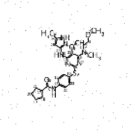 COCCN(C)c1nc(Sc2ccc(NC(=O)C3CCCC3)cc2)nc(Nc2cc(C)[nH]n2)c1OC